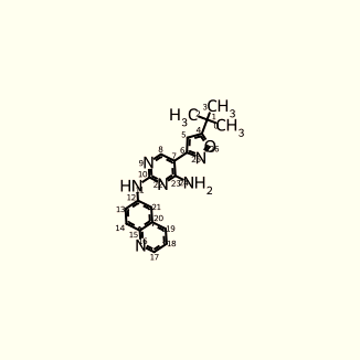 CC(C)(C)c1cc(-c2cnc(Nc3ccc4ncccc4c3)nc2N)no1